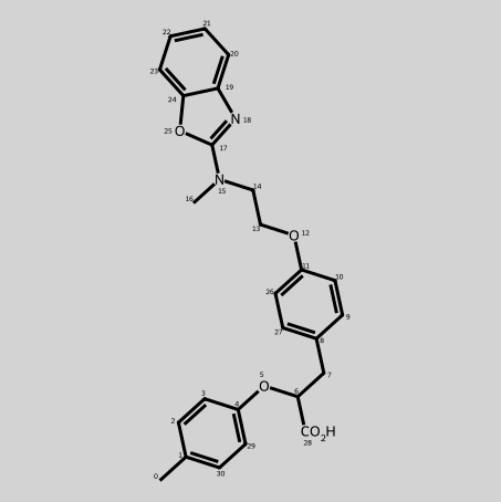 Cc1ccc(OC(Cc2ccc(OCCN(C)c3nc4ccccc4o3)cc2)C(=O)O)cc1